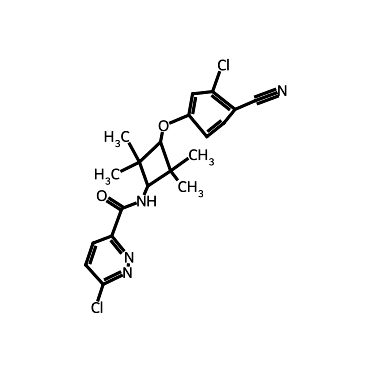 CC1(C)C(NC(=O)c2ccc(Cl)nn2)C(C)(C)C1Oc1ccc(C#N)c(Cl)c1